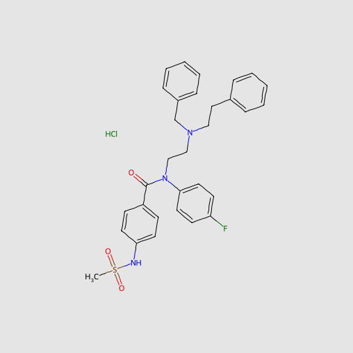 CS(=O)(=O)Nc1ccc(C(=O)N(CCN(CCc2ccccc2)Cc2ccccc2)c2ccc(F)cc2)cc1.Cl